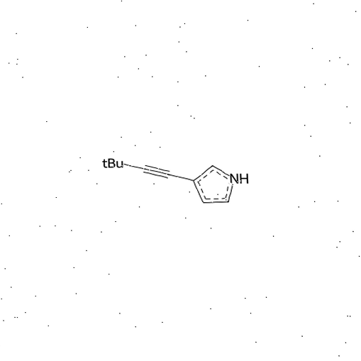 CC(C)(C)C#Cc1cc[nH]c1